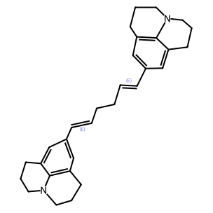 C(=C\c1cc2c3c(c1)CCCN3CCC2)/CC/C=C/c1cc2c3c(c1)CCCN3CCC2